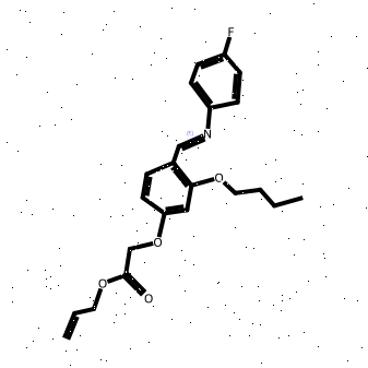 C=CCOC(=O)COc1ccc(/C=N/c2ccc(F)cc2)c(OCCCC)c1